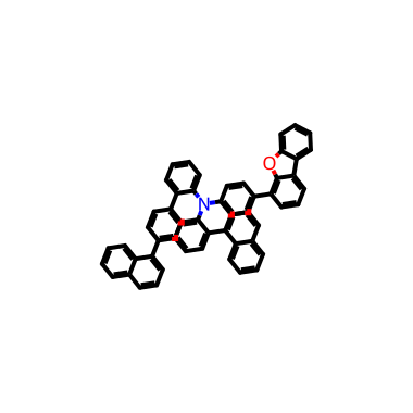 c1ccc(N(c2ccc(-c3cccc4c3oc3ccccc34)cc2)c2ccccc2-c2cccc3ccccc23)c(-c2ccc(-c3cccc4ccccc34)cc2)c1